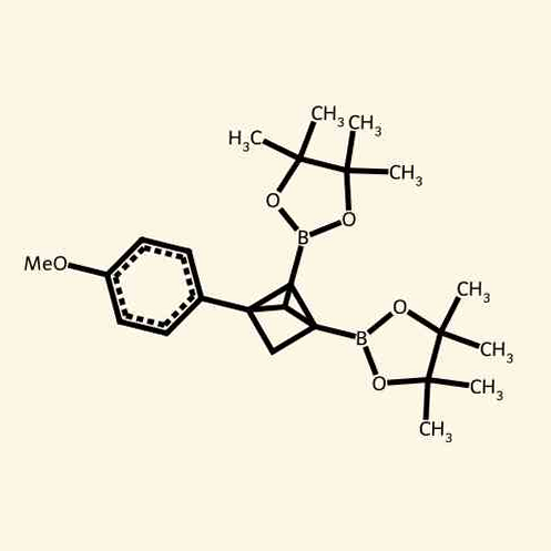 COc1ccc(C23CC(B4OC(C)(C)C(C)(C)O4)(C2)C3B2OC(C)(C)C(C)(C)O2)cc1